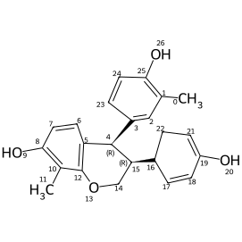 Cc1cc([C@@H]2c3ccc(O)c(C)c3OC[C@@H]2C2C=CC(O)=CC2)ccc1O